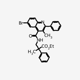 CCOC(=O)C(C)(CNC(=O)c1c(C)c(-c2ccccc2)nc2ccc(Br)cc12)c1ccccc1